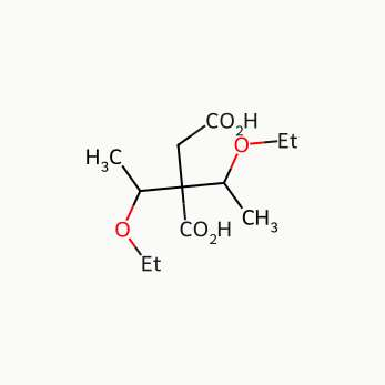 CCOC(C)C(CC(=O)O)(C(=O)O)C(C)OCC